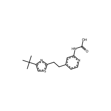 CC(C)(C)c1csc(CCc2ccnc(NC(=O)O)c2)n1